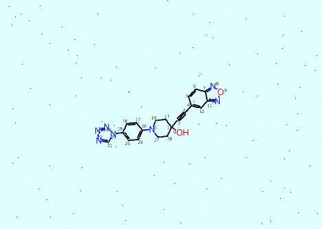 OC1(C#Cc2ccc3nonc3c2)CCN(c2[c]cc(-n3cnnn3)cc2)CC1